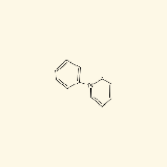 [CH]1C=CC=CN1c1ccccc1